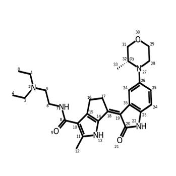 CCN(CC)CCNC(=O)c1c(C)[nH]c2c1CCC2=C1C(=O)Nc2ccc(N3CCOC[C@H]3C)cc21